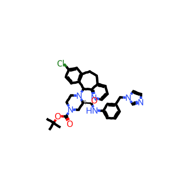 CC(C)(C)OC(=O)N1CCN(C2c3ccc(Cl)cc3CCc3cccnc32)[C@@H](C(=O)Nc2cccc(Cn3ccnc3)c2)C1